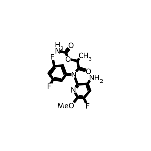 COc1nc(N(C(=O)C(C)OC(N)=O)c2cc(F)cc(F)c2)c(N)cc1F